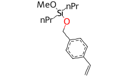 C=Cc1ccc(CO[Si](CCC)(CCC)OC)cc1